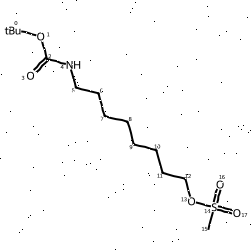 CC(C)(C)OC(=O)NCCCCCCCCOS(C)(=O)=O